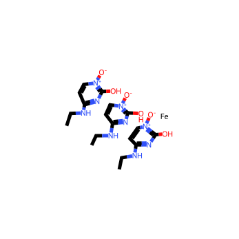 CCNc1cc[n+]([O-])c(O)n1.CCNc1cc[n+]([O-])c(O)n1.CCNc1cc[n+]([O-])c(O)n1.[Fe]